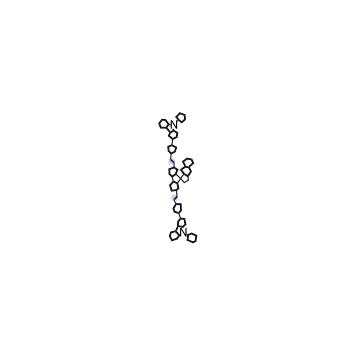 C(=C\c1ccc2c(c1)C1(CCc3cc4ccccc4cc31)c1cc(/C=C/c3ccc(-c4ccc5c(c4)c4ccccc4n5-c4ccccc4)cc3)ccc1-2)/c1ccc(-c2ccc3c(c2)c2ccccc2n3-c2ccccc2)cc1